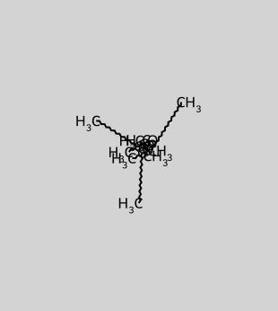 CCCCCCCCCCCCCCCCC(CCC)OC(C)OP(=O)(OC(C)OC(CCC)CCCCCCCCCCCCCCCC)OC(C)OC(CCC)CCCCCCCCCCCCCCCC